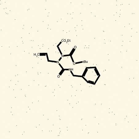 C=CCN(C(=O)NCc1ccccc1)N(CC(=O)OCC)C(=O)OC(C)(C)C